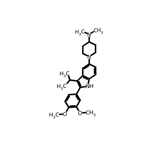 COc1ccc(-c2[nH]c3ccc(N4CCC(N(C)C)CC4)cc3c2C(C)C)cc1OC